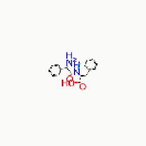 N[C@@H](C(=O)NC(Cc1ccccc1F)C(=O)O)c1ccccc1